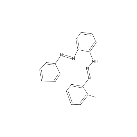 Cc1ccccc1N=NNc1ccccc1N=Nc1ccccc1